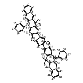 CC1(C)c2cc3ccccc3cc2N(c2ccccc2)c2cc3oc4cc5c(cc4c3cc21)oc1cc2c(cc15)C(C)(C)c1cc3ccccc3cc1N2c1ccccc1